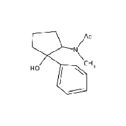 CC(=O)N(C)C1CCCC1(O)c1ccccc1